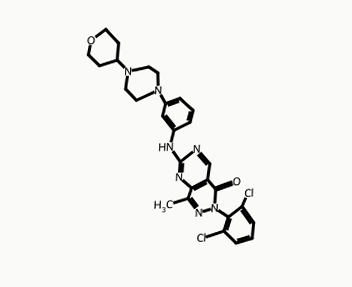 Cc1nn(-c2c(Cl)cccc2Cl)c(=O)c2cnc(Nc3cccc(N4CCN(C5CCOCC5)CC4)c3)nc12